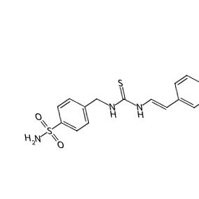 NS(=O)(=O)c1ccc(CNC(=S)NC=Cc2ccccc2)cc1